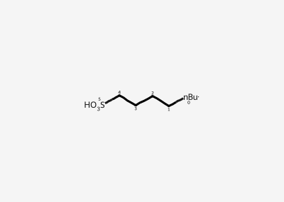 CCC[CH]CCCCS(=O)(=O)O